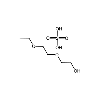 CCOCCOCCO.O=S(=O)(O)O